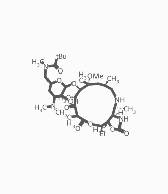 CC[C@H]1OC(=O)C(C)C(=O)[C@H](C)[C@@H](OC2OC(CN(C)C(=O)C(C)(C)C)CC(N(C)C)C2O)[C@](C)(OC)C[C@@H](C)CN[C@H](C)[C@H]2NC(=O)O[C@@]21C